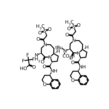 CC(C)(C)N(C(=O)O)[C@H]1CN(C(=O)CS(C)(=O)=O)CC[C@H]2CC[C@@H](C(=O)N[C@@H]3CCOc4ccccc43)N2C1=O.CS(=O)(=O)CC(=O)N1CC[C@H]2CC[C@@H](C(=O)N[C@@H]3CCOc4ccccc43)N2C(=O)[C@@H](N)C1.O=C(O)C(F)(F)F